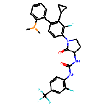 CP(C)c1ccccc1-c1ccc(N2CCC(NC(=O)Nc3ccc(C(F)(F)F)cc3F)C2=O)c(F)c1C1CC1